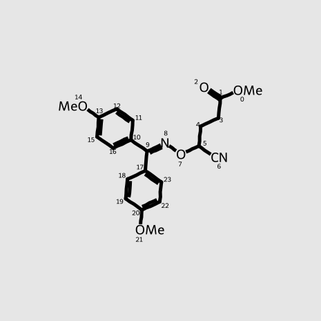 COC(=O)CCC(C#N)ON=C(c1ccc(OC)cc1)c1ccc(OC)cc1